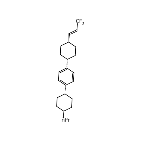 CCC[C@H]1CC[C@H](c2ccc([C@H]3CC[C@H](C=CC(F)(F)F)CC3)cc2)CC1